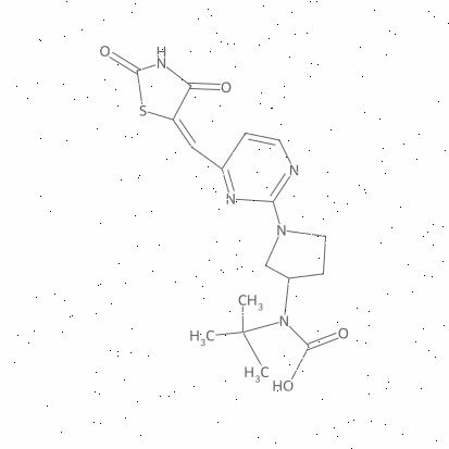 CC(C)(C)N(C(=O)O)C1CCN(c2nccc(C=C3SC(=O)NC3=O)n2)C1